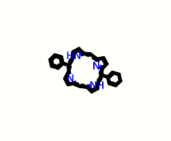 C1=CC(c2c3nc(cc4ccc([nH]4)c(-c4ccccc4)c4nc(cc5ccc2[nH]5)C=C4)C=C3)=CCC1